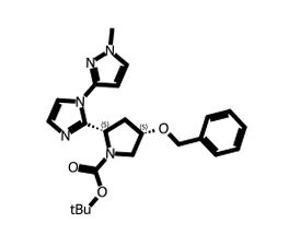 Cn1ccc(-n2ccnc2[C@@H]2C[C@H](OCc3ccccc3)CN2C(=O)OC(C)(C)C)n1